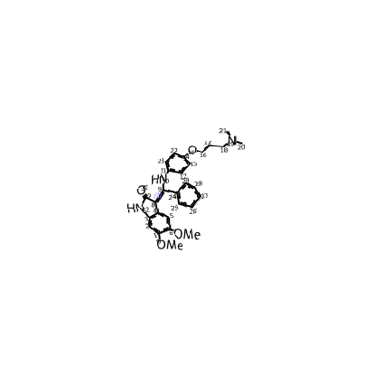 COc1cc2c(cc1OC)/C(=C(/Nc1ccc(OCCCN(C)C)cc1)c1ccccc1)C(=O)N2